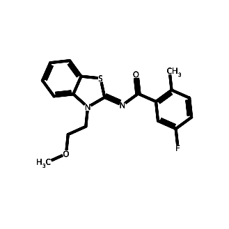 COCCn1/c(=N/C(=O)c2cc(F)ccc2C)sc2ccccc21